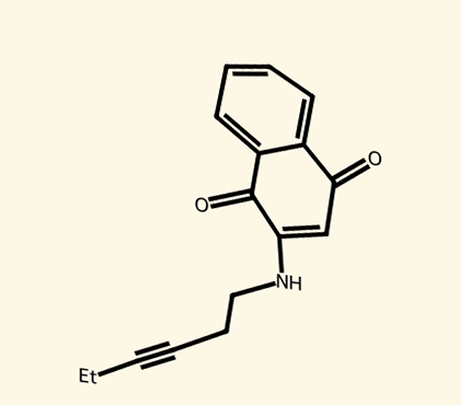 CCC#CCCNC1=CC(=O)c2ccccc2C1=O